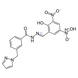 O=C(N/N=C/c1cc([NH+]([O-])O)cc([N+](=O)[O-])c1O)c1cccc(Cn2cccn2)c1